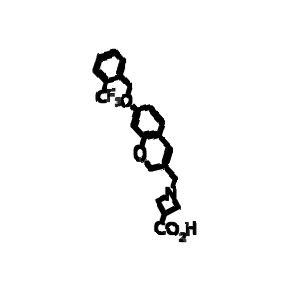 O=C(O)C1CN(CC2=Cc3ccc(OCc4ccccc4C(F)(F)F)cc3OC2)C1